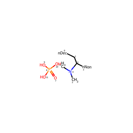 CCCCCCCCCCCC(CCCCCCCCC)N(C)C.O=P(O)(O)O